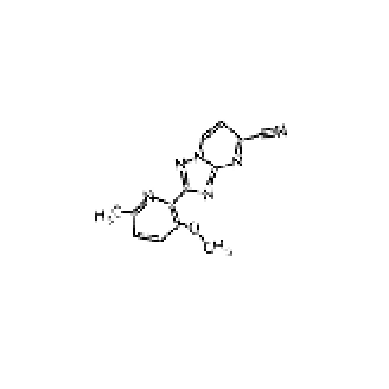 COc1ccc(C)nc1-c1nc2nc(C#N)ccn2n1